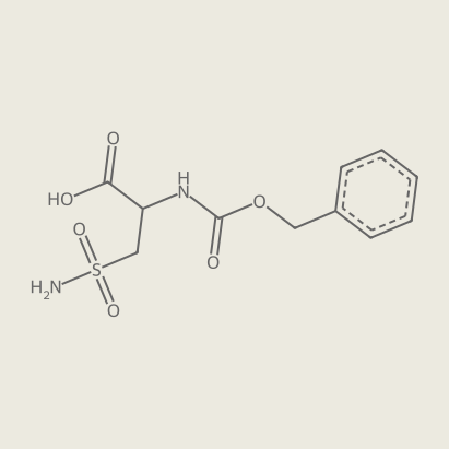 NS(=O)(=O)CC(NC(=O)OCc1ccccc1)C(=O)O